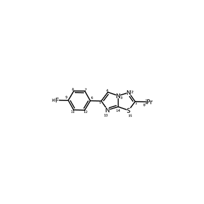 CC(C)c1nn2cc(-c3ccc(F)cc3)nc2s1